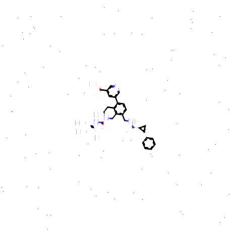 CC(C)(C)NC(=O)N1CCc2c(-c3cncc(C(=O)O)c3)ccc(CNC(=O)[C@H]3C[C@@H]3c3ccccc3)c2C1